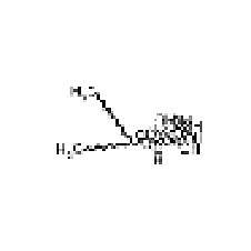 CCCCCCCCCCCCC(CCCCCCCCCC)CC(=O)O[C@@H]1O[C@H](CO)[C@@H](O[C@H]2O[C@H](CO)[C@@H](O)[C@H](O)[C@H]2O)[C@H](O)[C@H]1O